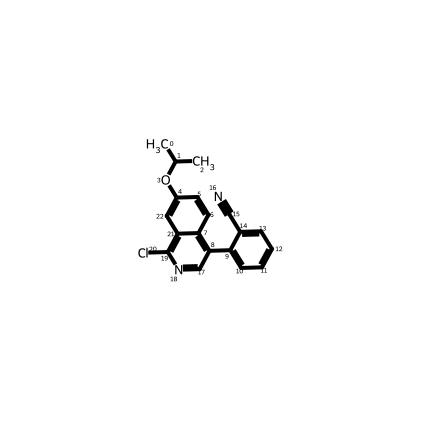 CC(C)Oc1ccc2c(-c3ccccc3C#N)cnc(Cl)c2c1